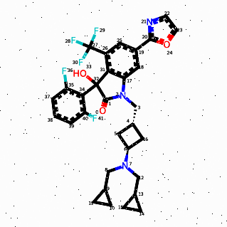 O=C1N(C[C@H]2C[C@H](N(CC3CC3)CC3CC3)C2)c2cc(-c3ncco3)cc(C(F)(F)F)c2C1(O)c1c(F)cccc1F